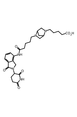 O=C(O)CCCCN1CC2CC1CN2CCCCC(=O)Nc1cccc2c1CN(C1CCC(=O)NC1=O)C2=O